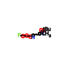 CN(C(=O)OC(C)(C)C)c1ccc(/C=C/c2ccc(OCCOCCOCCF)nc2)cc1